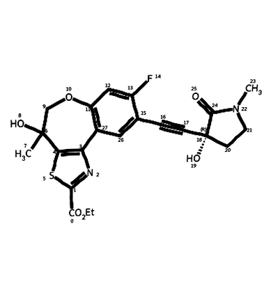 CCOC(=O)c1nc2c(s1)C(C)(O)COc1cc(F)c(C#C[C@]3(O)CCN(C)C3=O)cc1-2